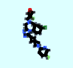 Fc1ccc(N2CC3(CC(c4nnc5n4-c4ccc(Cl)cc4CN(CC4(F)COC4)C5)C3)C2)nc1